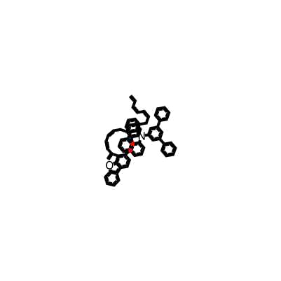 C=C/C=C\C=C/Cc1cccc(-c2ccccc2)c1N(c1cc(-c2ccccc2)cc(-c2ccccc2)c1)c1cccc2c1-c1ccccc1C/C=C\C=C/C(=C)c1c-2ccc2c1oc1ccccc12